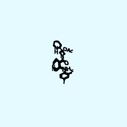 CC(=O)OC1([C@@H]2CCCCN2)CN(C(=O)c2ccncc2Nc2ccc(I)cc2F)C1